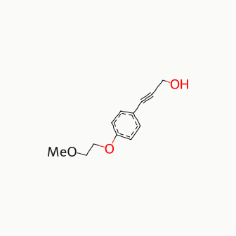 COCCOc1ccc(C#CCO)cc1